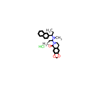 CCC(c1ccc2ccccc2c1)N(C)C(CC)N1CCc2cc3c(cc2C1=O)OCO3.Cl